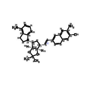 CC1(C)O[C@@H]2[C@H](O1)[C@@H](/C=C/c1ccc3cc(Cl)c(N)nc3c1)C[C@H]2N1CCc2c(N)ncnc21